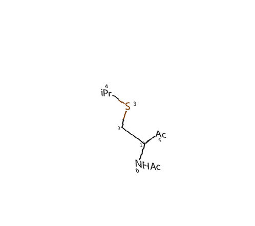 CC(=O)NC(CSC(C)C)C(C)=O